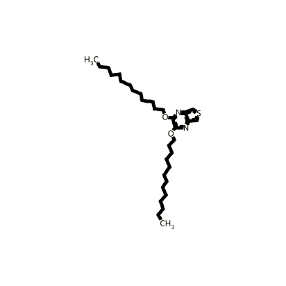 CCCCCCCCCCCCCOc1nc2cscc2nc1OCCCCCCCCCCCCC